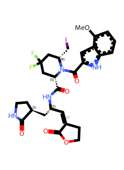 COc1cccc2[nH]c(C(=O)N3[C@@H](CI)CC(F)(F)C[C@H]3C(=O)N[C@H](/C=C3/CCOC3=O)C[C@@H]3CCNC3=O)cc12